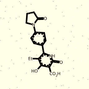 CCc1c(-c2ccc(N3CCCC3=O)cc2)[nH]c(=O)c(C(=O)O)c1O